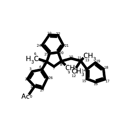 CC(=O)c1ccc(C2(C)CC(C)(CC(C)(C)c3ccccc3)c3ccccc32)cc1